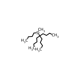 CCCC[Si](C)C(CCCC)(CCCC)CCCC